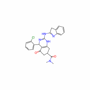 CN(C)C(=O)C1CC(=O)C2=C(C1)NC(NC1=Nc3ccccc3C1)=NC2c1ccccc1Cl